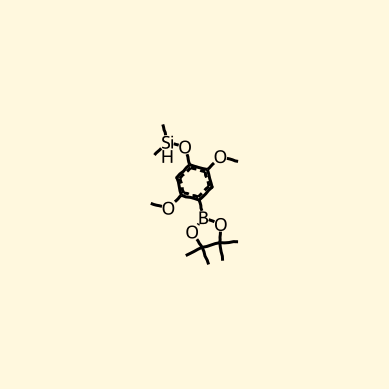 COc1cc(B2OC(C)(C)C(C)(C)O2)c(OC)cc1O[SiH](C)C